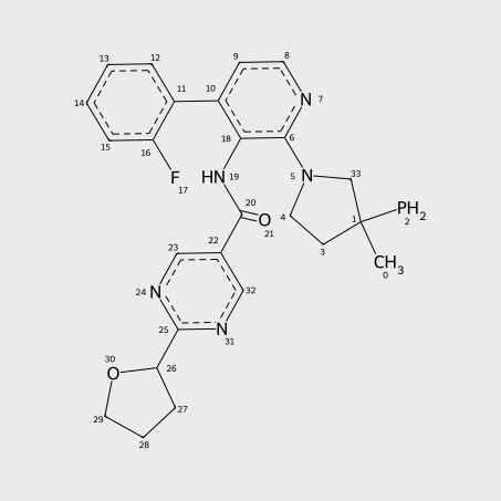 CC1(P)CCN(c2nccc(-c3ccccc3F)c2NC(=O)c2cnc(C3CCCO3)nc2)C1